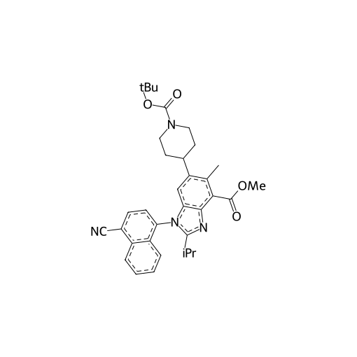 COC(=O)c1c(C)c(C2CCN(C(=O)OC(C)(C)C)CC2)cc2c1nc(C(C)C)n2-c1ccc(C#N)c2ccccc12